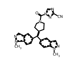 Cn1ncc2cc(C(=C3CCN(C(=O)n4cnc(C#N)n4)CC3)c3ccc4c(cnn4C)c3)ccc21